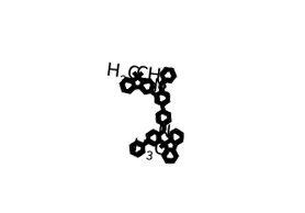 CC1(C)c2ccccc2-c2cc3c4cc(-c5ccc(N6c7ccc(-c8ccccc8)cc7C7(C)c8ccccc8-c8cccc6c87)cc5)ccc4n(-c4ccccc4)c3cc21